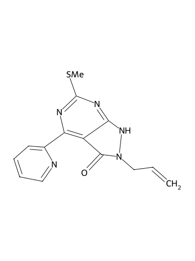 C=CCn1[nH]c2nc(SC)nc(-c3ccccn3)c2c1=O